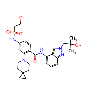 CC(C)(O)Cn1cc2c(NC(=O)c3ccc(NS(=O)(=O)CCO)cc3N3CCC4(CC3)CC4)cccc2n1